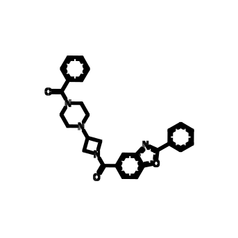 O=C(c1ccccc1)N1CCN(C2CN(C(=O)c3ccc4oc(-c5ccccc5)nc4c3)C2)CC1